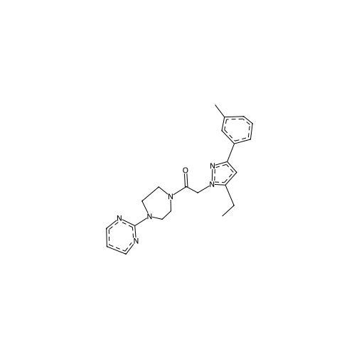 CCc1cc(-c2cccc(C)c2)nn1CC(=O)N1CCN(c2ncccn2)CC1